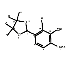 COc1ccc(B2OC(C)(C)C(C)(C)O2)c(F)c1Cl